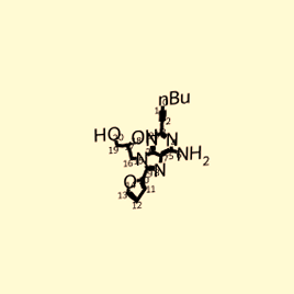 CCCCC#Cc1nc(N)c2nc(-c3ccco3)n(CC(O)CO)c2n1